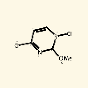 COC1N=C(Cl)C=CN1Cl